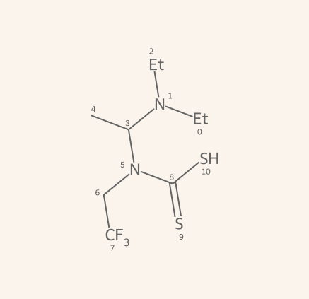 CCN(CC)C(C)N(CC(F)(F)F)C(=S)S